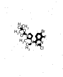 CCN(c1nc(Cl)nc2c(F)c(Br)ccc12)[C@@H]1CCN(C(=O)OC(C)(C)C)[C@@H]1C